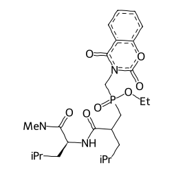 CCOP(=O)(CC(CC(C)C)C(=O)N[C@@H](CC(C)C)C(=O)NC)Cn1c(=O)oc2ccccc2c1=O